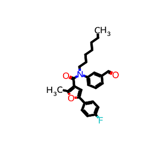 CCCCCCCN(C(=O)c1cc(-c2ccc(F)cc2)oc1C)c1cccc(C=O)c1